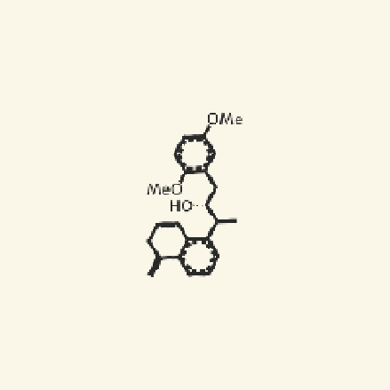 C=C1CC=Cc2c1cccc2C(C)[C@H](O)Cc1cc(OC)ccc1OC